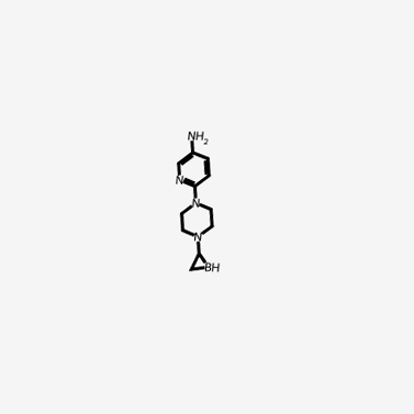 Nc1ccc(N2CCN(C3BC3)CC2)nc1